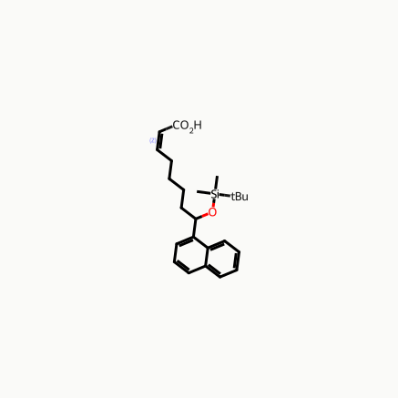 CC(C)(C)[Si](C)(C)OC(CCCC/C=C\C(=O)O)c1cccc2ccccc12